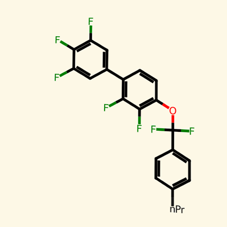 CCCc1ccc(C(F)(F)Oc2ccc(-c3cc(F)c(F)c(F)c3)c(F)c2F)cc1